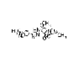 CCN1CCN(c2cc(OC)c(Nc3cc(-c4ccc5c(cnn5C)c4)ncn3)cc2[N+](=O)[O-])CC1